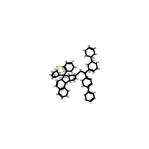 C1=CCCC(C2=CC=C(C(CC3C=CC4C5C6=C(C=CCC6)C=CC5C5(C6=C(C=CCC6)SC6C=CC=CC65)C4C3)C3=CCCC(C4CC=CCC4)C3)CC2)=C1